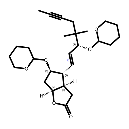 CC#CCC(C)(C)[C@@H](/C=C/[C@@H]1[C@H]2CC(=O)O[C@H]2C[C@H]1OC1CCCCO1)OC1CCCCO1